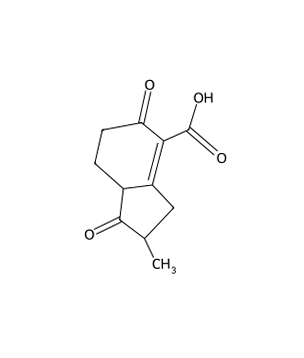 CC1CC2=C(C(=O)O)C(=O)CCC2C1=O